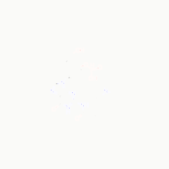 CC(C)C(=O)Nc1nc2c(ncn2[C@@H]2C[C@H](CO)[C@@H](O[PH](=O)O)C2)c(=O)[nH]1.CCN(CC)CC